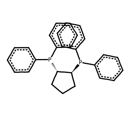 c1ccc(P(c2ccccc2)[C@H]2CCC[C@@H]2P(c2ccccc2)c2ccccc2)cc1